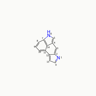 C1=Nc2cc3c[nH]c4cccc(c2=C1)c34